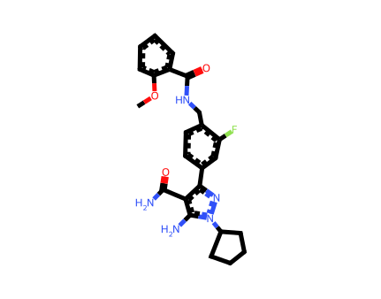 COc1ccccc1C(=O)NCc1ccc(-c2nn(C3CCCC3)c(N)c2C(N)=O)cc1F